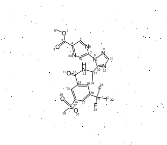 COC(=O)c1cnc(-n2ncnc2C(C)NC(=O)c2cc(C(F)(F)F)cc(S(C)(=O)=O)c2)cn1